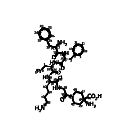 CC(C)C[C@@H](NC(=O)[C@@H](Cc1ccccc1)NC(=O)[C@H](N)Cc1ccccc1)C(=O)N[C@H](CCCCN)C(=O)NCC(=O)N1CCC(N)(C(=O)O)CC1